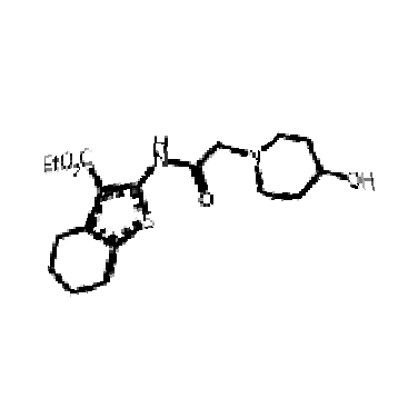 CCOC(=O)c1c(NC(=O)CN2CCC(O)CC2)sc2c1CCCC2